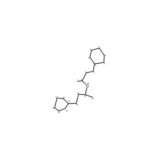 CC(CCC1CCCCC1)OC(C)CCC1CCCCC1